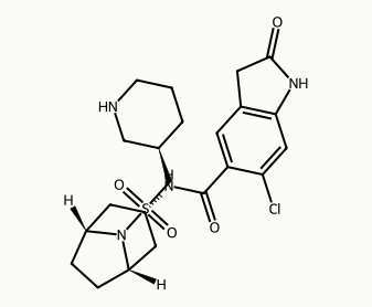 O=C1Cc2cc(C(=O)N[C@H]3C[C@H]4CC[C@@H](C3)N4S(=O)(=O)C[C@@H]3CCCNC3)c(Cl)cc2N1